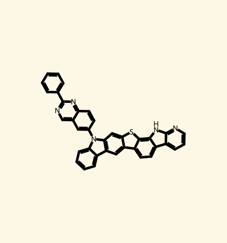 c1ccc(-c2ncc3cc(-n4c5ccccc5c5cc6c(cc54)sc4c6ccc5c6cccnc6[nH]c54)ccc3n2)cc1